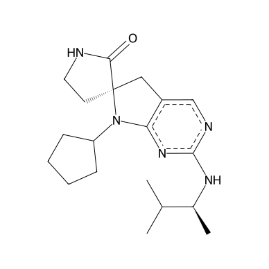 CC(C)[C@H](C)Nc1ncc2c(n1)N(C1CCCC1)[C@]1(CCNC1=O)C2